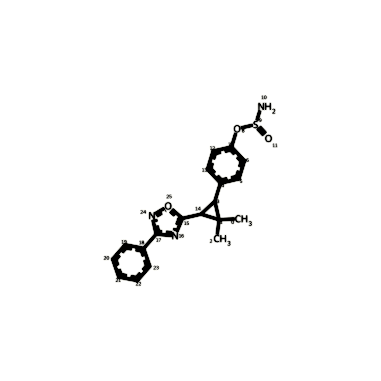 CC1(C)C(c2ccc(OS(N)=O)cc2)C1c1nc(-c2ccccc2)no1